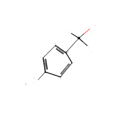 CCC(O)(CC)c1ccc(C(=O)O)cc1